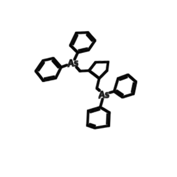 c1ccc([As](CC2CCCC2C[As](c2ccccc2)c2ccccc2)c2ccccc2)cc1